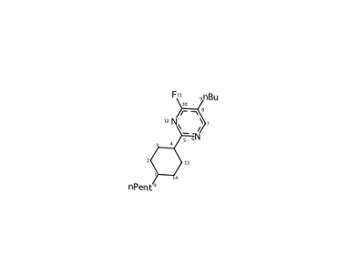 CCCCCC1CCC(c2ncc(CCCC)c(F)n2)CC1